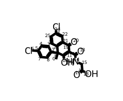 CC1(c2ccc(Cl)cc2)C(O)=C(C(=O)NCC(=O)O)C(=O)c2cc(Cl)ccc21